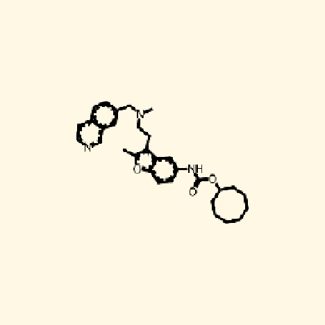 Cc1oc2ccc(NC(=O)OC3CCCCCCC3)cc2c1CCN(C)Cc1ccc2ccncc2c1